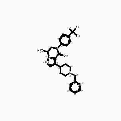 CC1CN(c2ccc(C(F)(F)F)cc2)C(=O)c2c(C3CCN(Cc4ccccn4)CC3)cnn21